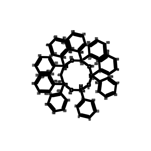 c1ccc([SiH]2O[Si](c3ccccc3)(c3ccccc3)O[Si](c3ccccc3)(c3ccccc3)[O][Sn]([c]3ccccc3)([c]3ccccc3)[CH2][Sn]([c]3ccccc3)([c]3ccccc3)[O]2)cc1